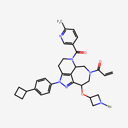 C=CC(=O)N1CC(OC2CN(C(C)=O)C2)c2nn(-c3ccc(C4CCC4)cc3)c3c2C(C1)N(C(=O)c1ccc(C(F)(F)F)nc1)CC3